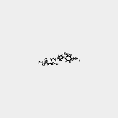 CC(C)OC(=O)N[C@H]1CC[C@H](c2ncc(-c3ccc(N)cc3Br)s2)CC1